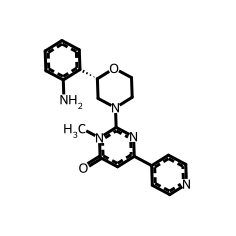 Cn1c(N2CCO[C@@H](c3ccccc3N)C2)nc(-c2ccncc2)cc1=O